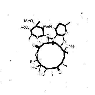 CC[C@H]1OC(=O)[C@H](C)[C@@H](O[C@H]2C[C@@](C)(OC)[C@@H](OC(C)=O)[C@H](C)O2)[C@H](C)[C@@H](O[C@@H]2O[C@H](C)C[C@@H](NC)[C@@H]2N(C)C)[C@@](C)(OC)C[C@@H](C)C(=O)[C@H](C)[C@@H](O)[C@]1(C)O